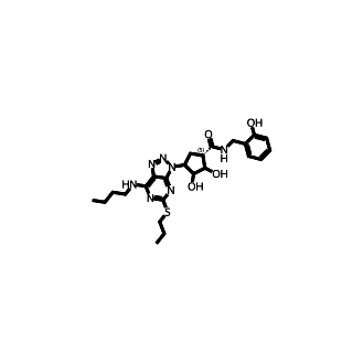 CCCCNc1nc(SCCC)nc2c1nnn2C1C[C@H](C(=O)NCc2ccccc2O)C(O)C1O